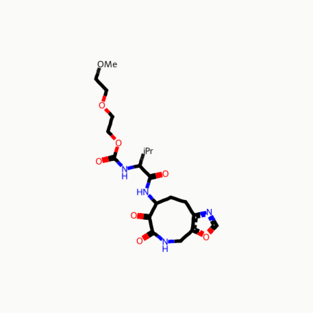 COCCOCCOC(=O)NC(C(=O)NC1CCc2ncoc2CNC(=O)C1=O)C(C)C